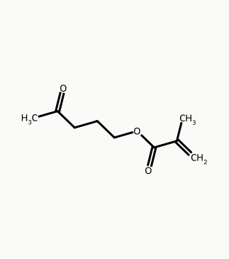 C=C(C)C(=O)OCCCC(C)=O